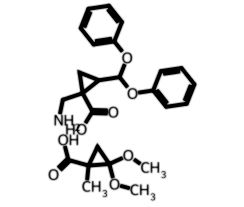 COC1(OC)CC1(C)C(=O)O.NCC1(C(=O)O)CC1C(Oc1ccccc1)Oc1ccccc1